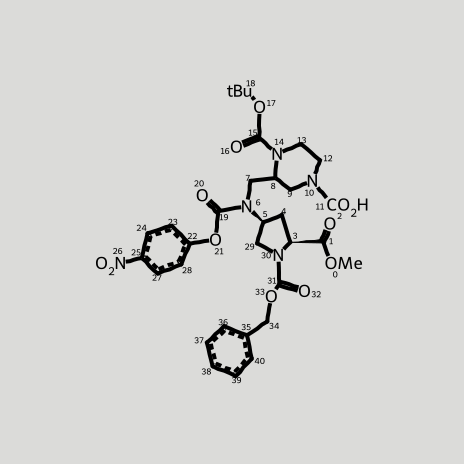 COC(=O)[C@@H]1C[C@H](N(CC2CN(C(=O)O)CCN2C(=O)OC(C)(C)C)C(=O)Oc2ccc([N+](=O)[O-])cc2)CN1C(=O)OCc1ccccc1